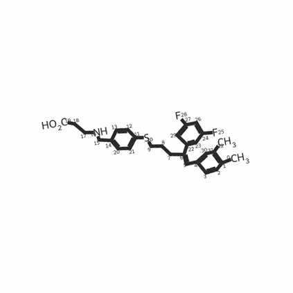 Cc1ccc(/C=C(/CCCSc2ccc(CNCCC(=O)O)cc2)c2cc(F)cc(F)c2)cc1C